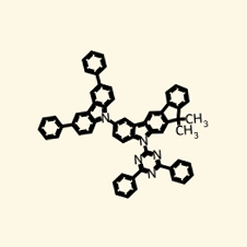 CC1(C)c2ccccc2-c2cc3c4cc(-n5c6ccc(-c7ccccc7)cc6c6cc(-c7ccccc7)ccc65)ccc4n(-c4nc(-c5ccccc5)nc(-c5ccccc5)n4)c3cc21